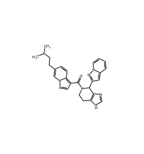 CN(C)CCc1ccc2c(C(=O)N3CCc4[nH]cnc4C3c3cc4ccccn4n3)cnn2c1